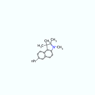 CCCc1ccc2c3c(ccc2c1)[N+](C)=C(C)C3(C)C